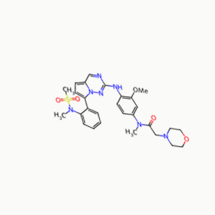 COc1cc(N(C)C(=O)CN2CCOCC2)ccc1Nc1ncc2ccc(-c3ccccc3N(C)S(C)(=O)=O)n2n1